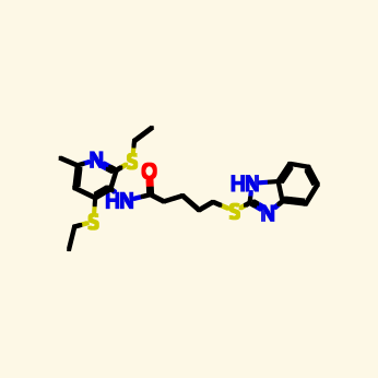 CCSc1cc(C)nc(SCC)c1NC(=O)CCCCSc1nc2ccccc2[nH]1